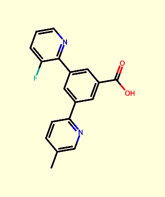 Cc1ccc(-c2cc(C(=O)O)cc(-c3ncccc3F)c2)nc1